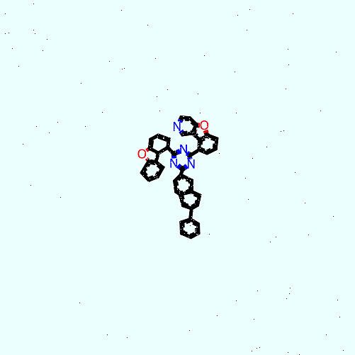 C1=CC(c2nc(-c3ccc4cc(-c5ccccc5)ccc4c3)nc(-c3cccc4oc5ccncc5c34)n2)C2C(=C1)Oc1ccccc12